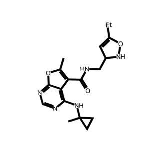 CCC1=CC(CNC(=O)c2c(C)oc3ncnc(NC4(C)CC4)c23)NO1